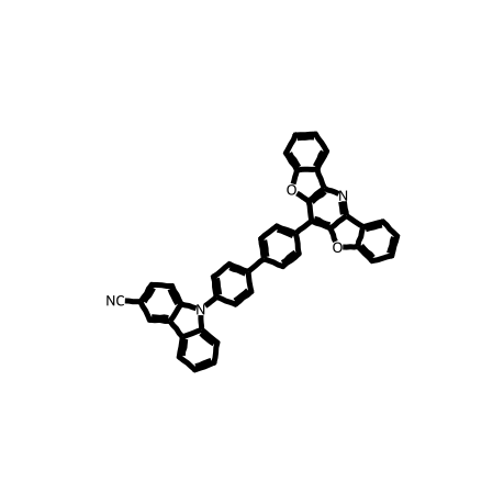 N#Cc1ccc2c(c1)c1ccccc1n2-c1ccc(-c2ccc(-c3c4oc5ccccc5c4nc4c3oc3ccccc34)cc2)cc1